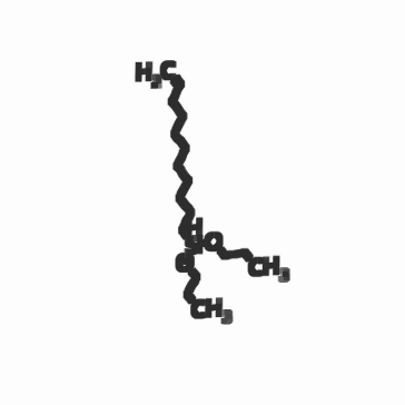 C=CCCCCCCCCC[SiH](OCCC)OCCC